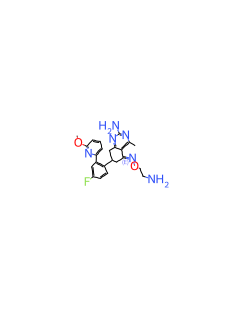 COc1cccc(-c2cc(F)ccc2C2C/C(=N\OCCN)c3c(C)nc(N)nc3C2)n1